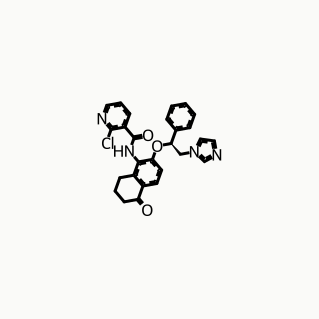 O=C(Nc1c(O[C@H](Cn2ccnc2)c2ccccc2)ccc2c1CCCC2=O)c1cccnc1Cl